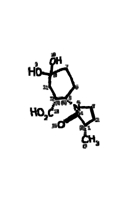 C[C@H]1CCN([C@H]2CCC(O)(O)C[C@H]2C(=O)O)C1=O